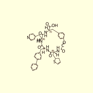 O=C1COc2ccc(cc2)C[C@@H](C(=O)O)NC(=O)[C@@H](Cc2ccncc2)NC(=O)[C@H](Cc2ccc(-c3ccccc3)cc2)NC(=O)[C@@H](CC2CC=CS2)N1